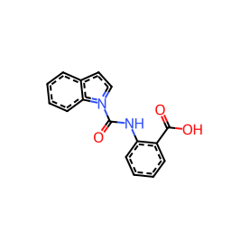 O=C(O)c1ccccc1NC(=O)n1ccc2ccccc21